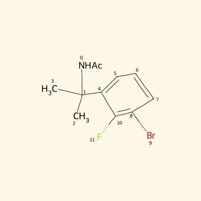 CC(=O)NC(C)(C)c1cccc(Br)c1F